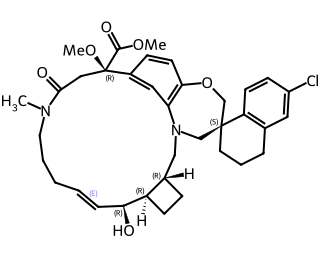 COC(=O)[C@@]1(OC)CC(=O)N(C)CCC/C=C/[C@H](O)[C@@H]2CC[C@H]2CN2C[C@@]3(CCCc4cc(Cl)ccc43)COc3ccc1cc32